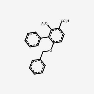 CC(=O)Oc1c(C(=O)O)ccc(OCc2ccccc2)c1-c1ccccc1